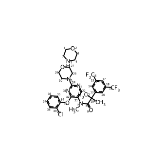 C1COCCN1.CN(C(=O)C(C)(C)c1cc(C(F)(F)F)cc(C(F)(F)F)c1)c1cnc(N2CCOCC2)nc1Oc1ccccc1Cl